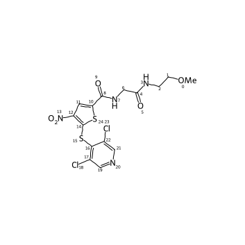 COCCNC(=O)CNC(=O)c1cc([N+](=O)[O-])c(Sc2c(Cl)cncc2Cl)s1